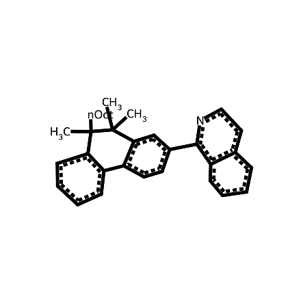 CCCCCCCCC1(C)c2ccccc2-c2ccc(-c3nccc4ccccc34)cc2C1(C)C